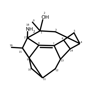 CC1(O)CC2CC3C4=C5C6CC(CC4C23)C6(C)C51N